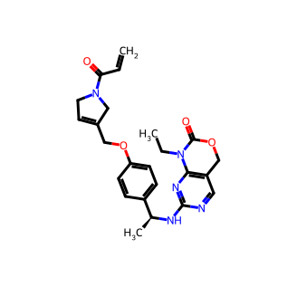 C=CC(=O)N1CC=C(COc2ccc([C@H](C)Nc3ncc4c(n3)N(CC)C(=O)OC4)cc2)C1